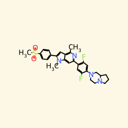 Cc1nc(-c2cc(F)c(N3CCN4CCCC4C3)cc2F)cc2c1cc(-c1ccc(S(C)(=O)=O)cc1)n2C